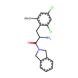 COc1cc(Cl)cc(Cl)c1CC(N)C(=O)N1Cc2ccccc2C1